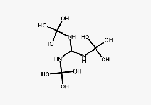 OC(O)(O)NC(NC(O)(O)O)NC(O)(O)O